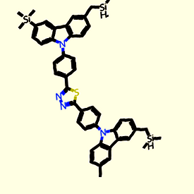 Cc1ccc2c(c1)c1cc(C[SiH](C)C)ccc1n2-c1ccc(-c2nnc(-c3ccc(-n4c5ccc(C[SiH](C)C)cc5c5cc([Si](C)(C)C)ccc54)cc3)s2)cc1